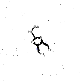 C/C=c1/nc(BSC)o/c1=C/C